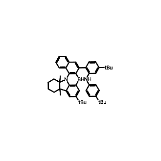 CC(C)(C)c1ccc(Nc2cc(C(C)(C)C)ccc2-c2cc3ccccc3c3c2Bc2cc(C(C)(C)C)cc4c2N3C2(C)CCCCC42C)cc1